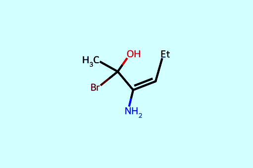 CC/C=C(/N)C(C)(O)Br